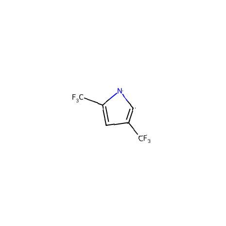 FC(F)(F)C1=[C][N]C(C(F)(F)F)=C1